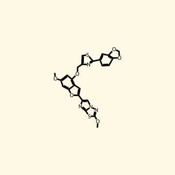 COc1cc(OCc2csc(-c3ccc4c(c3)OCO4)n2)c2cc(-c3cn4nc(OC)sc4n3)oc2c1